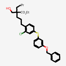 CCOC(=O)C(CO)(CCCc1ccc(Sc2cccc(OCc3ccccc3)c2)cc1Cl)CC(C)C